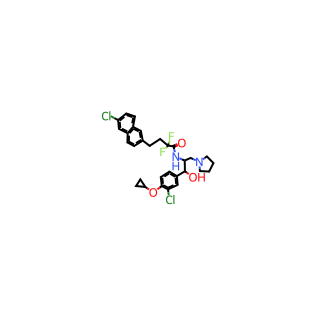 O=C(NC(CN1CCCC1)C(O)c1ccc(OC2CC2)c(Cl)c1)C(F)(F)CCc1ccc2cc(Cl)ccc2c1